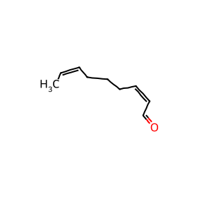 C/C=C\CCC/C=C\C=O